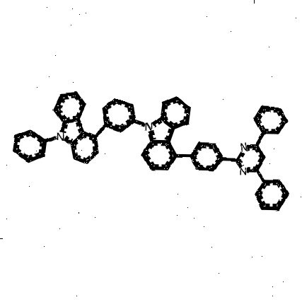 c1ccc(-c2cc(-c3ccccc3)nc(-c3ccc(-c4cccc5c4c4ccccc4n5-c4cccc(-c5cccc6c5c5ccccc5n6-c5ccccc5)c4)cc3)n2)cc1